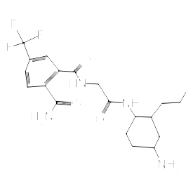 CCCC1CC(N)CCC1NC(=O)CNC(=O)c1cc(C(F)(F)F)ccc1C(N)=O